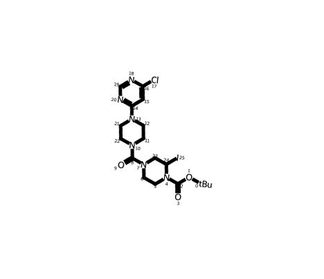 CC(C)(C)OC(=O)N1CCN(C(=O)N2CCN(c3cc(Cl)ncn3)CC2)CC1I